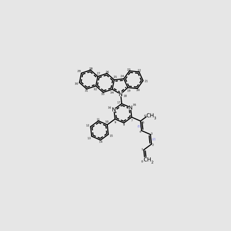 C=C/C=C\C=C(/C)c1cc(-c2ccccc2)nc(-n2c3ccccc3c3cc4ccccc4cc32)n1